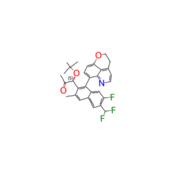 CC(=O)[C@@H](OC(C)(C)C)c1c(C)cc2cc(C(F)F)c(F)cc2c1-c1ccc2c3c(ccnc13)CCO2